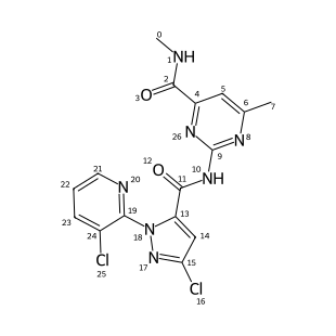 CNC(=O)c1cc(C)nc(NC(=O)c2cc(Cl)nn2-c2ncccc2Cl)n1